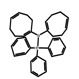 C1=CCC[C]([Ni]([C]2=CCCC=CCC2)[PH](c2ccccc2)(c2ccccc2)c2ccccc2)=CCC1